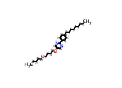 CCCCCCCCCc1ccc(-c2ncc(OCCCCOCCCCC)cn2)cc1